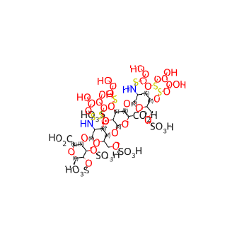 C[C@H]1O[C@@H](C(=O)O)[C@H](O[C@H]2OC(COS(=O)(=O)O)[C@@H](O[C@@H]3OC(C(=O)O)[C@@H](O[C@H]4OC(COS(=O)(=O)O)[C@@H](OSOOO)[C@@H](OSOOO)C4NSOOO)[C@H](OSOOO)C3OS(=O)(=O)O)[C@H](OSOOO)C2NSOOO)C(OS(=O)(=O)O)C1OS(=O)(=O)O